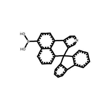 OB(O)c1ccc2c3c(cccc13)C1(c3ccccc3-c3ccccc31)c1cnccc1-2